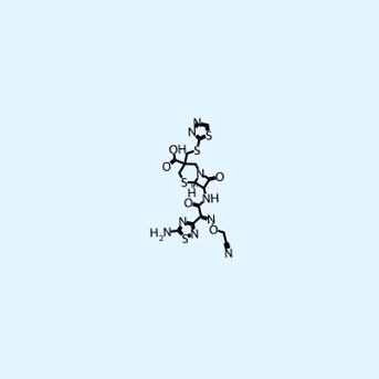 N#CCON=C(C(=O)NC1C(=O)N2CC(CSc3nncs3)(C(=O)O)CS[C@H]12)c1nsc(N)n1